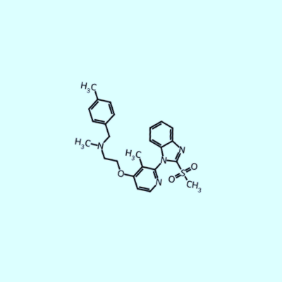 Cc1ccc(CN(C)CCOc2ccnc(-n3c(S(C)(=O)=O)nc4ccccc43)c2C)cc1